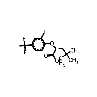 CC(C)(C)C[C@H](Oc1ccc(C(F)(F)F)cc1I)C(=O)O